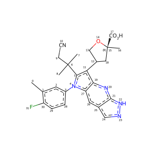 Cc1cc(-n2c(C(C)(C)CC#N)c(C3CO[C@@](C)(C(=O)O)C3)c3nc4[nH]ncc4cc32)ccc1F